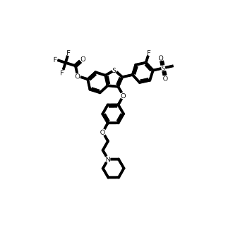 CS(=O)(=O)c1ccc(-c2sc3cc(OC(=O)C(F)(F)F)ccc3c2Oc2ccc(OCCN3CCCCC3)cc2)cc1F